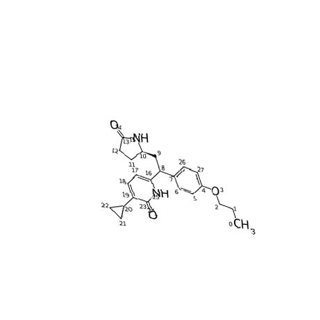 CCCOc1ccc(C(C[C@H]2CCC(=O)N2)c2ccc(C3CC3)c(=O)[nH]2)cc1